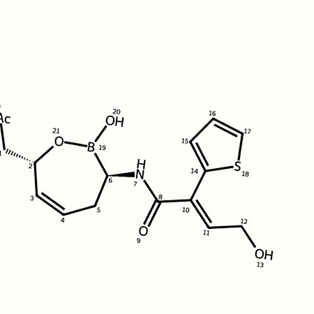 CC(=O)C[C@H]1C=CC[C@H](NC(=O)/C(=C/CO)c2cccs2)B(O)O1